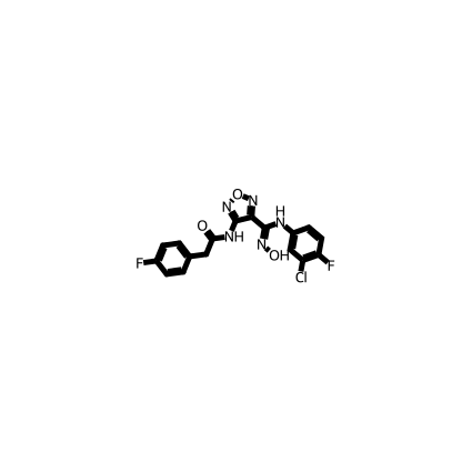 O=C(Cc1ccc(F)cc1)Nc1nonc1/C(=N/O)Nc1ccc(F)c(Cl)c1